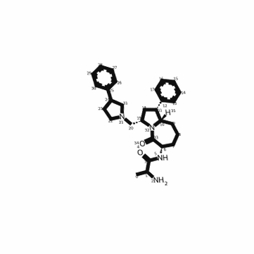 CC(N)C(=O)N[C@H]1CCC[C@H]2[C@@H](c3ccccc3)C[C@@H](CN3CCC(c4ccccc4)C3)N2C1=O